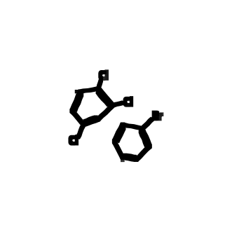 Brc1cc[c]cc1.Clc1c[c]c(Cl)c(Cl)c1